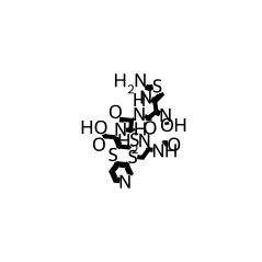 Nc1nc(/C(=N/O)C(=O)N[C@@H]2C(=O)N3C(C(=O)O)=C(Sc4ccncc4SCC(N)NC=O)CS[C@@H]23)cs1